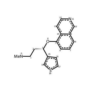 CNCC[C@H](Oc1cccc2cnccc12)c1ccsc1